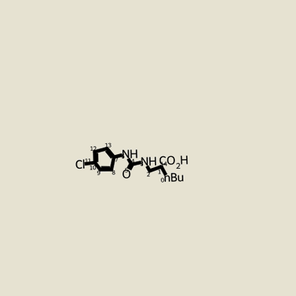 CCCCC(CNC(=O)Nc1ccc(Cl)cc1)C(=O)O